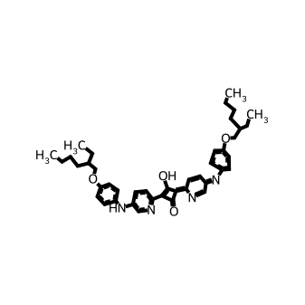 CCCCC(CC)COc1ccc(/N=C2C=C/C(=C3/C(=O)C(c4ccc(Nc5ccc(OCC(CC)CCCC)cc5)cn4)=C3O)N=C\2)cc1